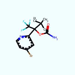 CC(C)(C)C(OC(N)=O)(c1cc(Br)ccn1)C(F)(F)F